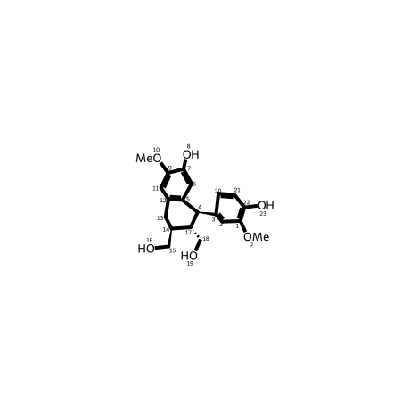 COc1cc([C@@H]2c3cc(O)c(OC)cc3C[C@H](CO)[C@H]2CO)ccc1O